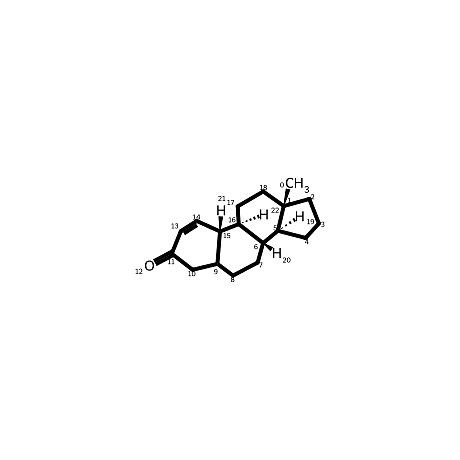 C[C@@]12CCC[C@H]1[C@@H]1CCC3CC(=O)C=C[C@@H]3[C@H]1CC2